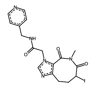 CN1C(=O)c2c(ncn2CC(=O)NCc2ccncc2)CCC(I)C1=O